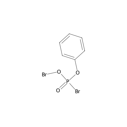 O=P(Br)(OBr)Oc1ccccc1